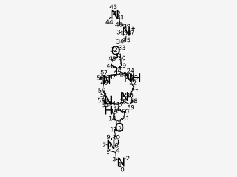 CN(C)CCC[N+](C)(C)CCCOc1ccc(-c2c3nc(cc4ccc([nH]4)c(-c4ccc(OCCC[N+](C)(C)CCCN(C)C)cc4)c4nc(cc5ccc2[nH]5)C=C4)C=C3)cc1